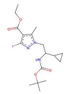 CCOC(=O)c1c(I)nn(CC(NC(=O)OC(C)(C)C)C2CC2)c1C